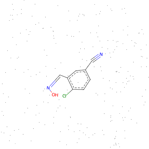 N#Cc1ccc(Cl)c(/C=N\O)c1